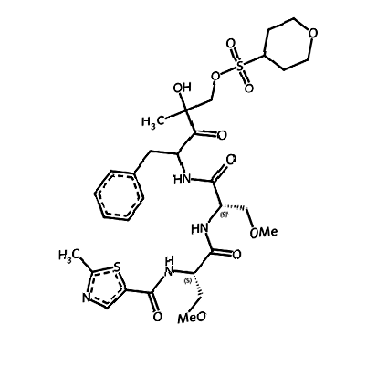 COC[C@H](NC(=O)c1cnc(C)s1)C(=O)N[C@@H](COC)C(=O)NC(Cc1ccccc1)C(=O)C(C)(O)COS(=O)(=O)C1CCOCC1